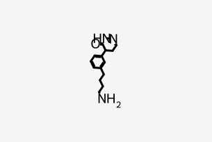 NCCCCc1cccc(C2CC=NNC2=O)c1